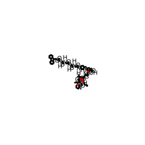 C#CCCCON(C(=O)[C@@H](NC(=O)[C@H]1CCCCN1C)[C@@H](C)CC)[C@H](C[C@@H](OC(C)=O)c1nc(C(=O)N[C@@H](Cc2ccc(NC(=O)CNC(=O)CNC(=O)CNC(=O)CNC(=O)OCC3c4ccccc4-c4ccccc43)cc2)CC(C)(C)C(=O)O)cs1)C(C)C